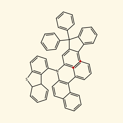 C1=CC2Sc3cccc(N(c4ccc5c(c4)C(c4ccccc4)(c4ccccc4)c4ccccc4-5)c4ccc5ccccc5c4-c4ccccc4)c3C2C=C1